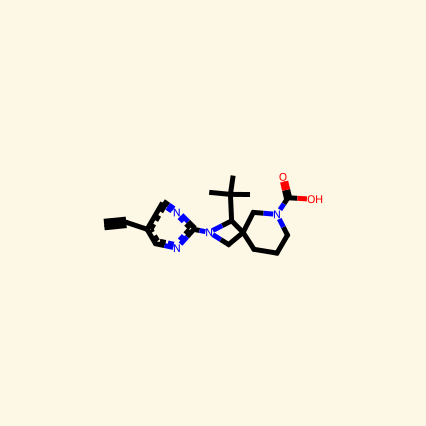 C#Cc1cnc(N2CC3(CCCN(C(=O)O)C3)C2C(C)(C)C)nc1